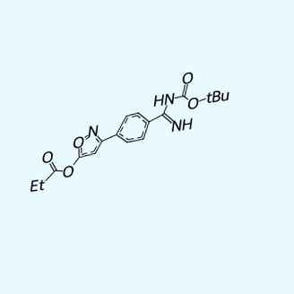 CCC(=O)Oc1cc(-c2ccc(C(=N)NC(=O)OC(C)(C)C)cc2)no1